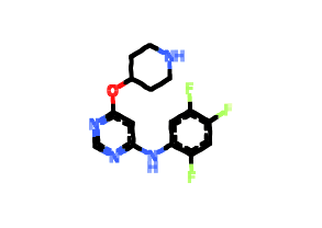 Fc1cc(F)c(Nc2cc(OC3CCNCC3)ncn2)cc1F